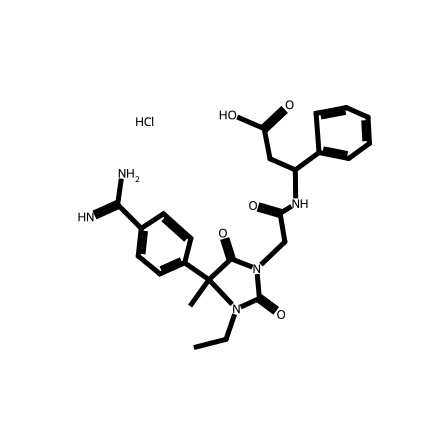 CCN1C(=O)N(CC(=O)NC(CC(=O)O)c2ccccc2)C(=O)C1(C)c1ccc(C(=N)N)cc1.Cl